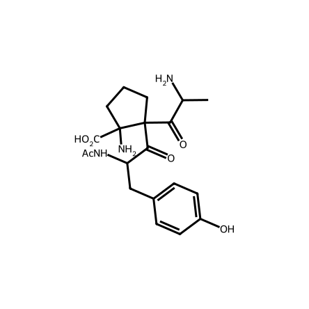 CC(=O)NC(Cc1ccc(O)cc1)C(=O)C1(C(=O)C(C)N)CCCC1(N)C(=O)O